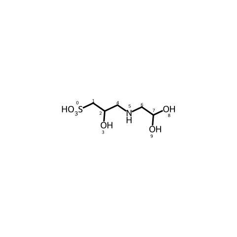 O=S(=O)(O)CC(O)CNCC(O)O